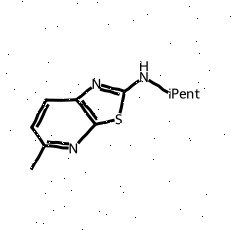 CCCC(C)Nc1nc2ccc(C)nc2s1